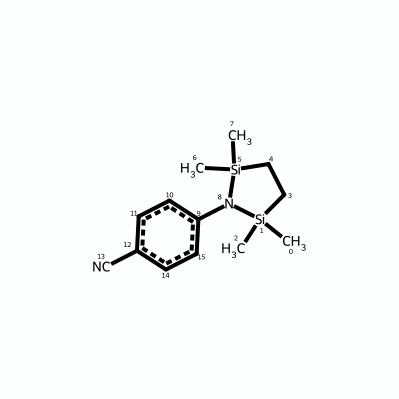 C[Si]1(C)CC[Si](C)(C)N1c1ccc(C#N)cc1